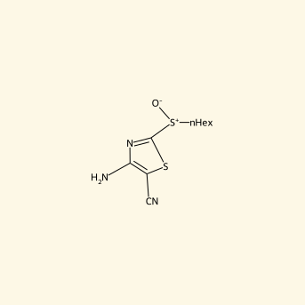 CCCCCC[S+]([O-])c1nc(N)c(C#N)s1